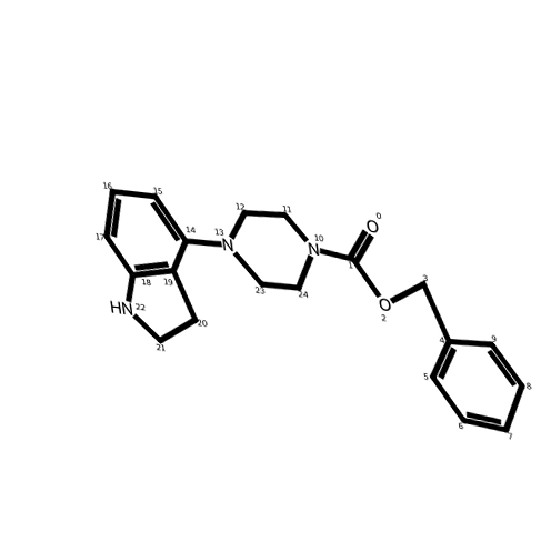 O=C(OCc1ccccc1)N1CCN(c2cccc3c2CCN3)CC1